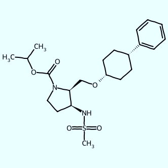 CC(C)OC(=O)N1CC[C@H](NS(C)(=O)=O)[C@@H]1CO[C@H]1CC[C@@H](c2ccccc2)CC1